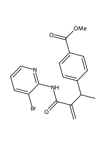 C=C(C(=O)Nc1ncccc1Br)C(C)c1ccc(C(=O)OC)cc1